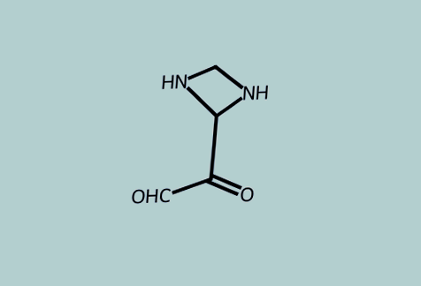 O=CC(=O)C1NCN1